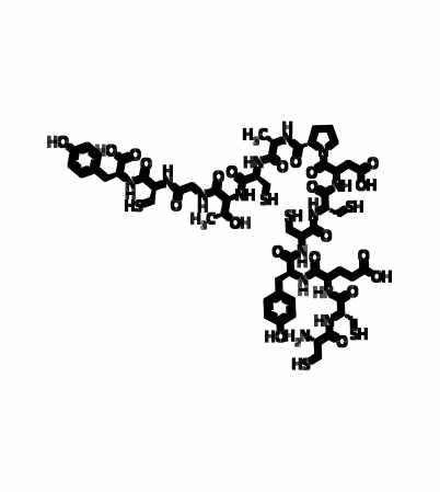 C[C@H](NC(=O)[C@@H]1CCCN1C(=O)C(CC(=O)O)NC(=O)[C@H](CS)NC(=O)C(CS)NC(=O)[C@H](Cc1ccc(O)cc1)NC(=O)C(CCC(=O)O)NC(=O)[C@H](CS)NC(=O)[C@@H](N)CS)C(=O)N[C@@H](CS)C(=O)N[C@H](C(=O)NCC(=O)N[C@@H](CS)C(=O)N[C@@H](Cc1ccc(O)cc1)C(=O)O)[C@@H](C)O